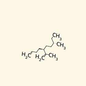 C=CCC[C@@H](CC[C@@H](C)CC)C(=C)C